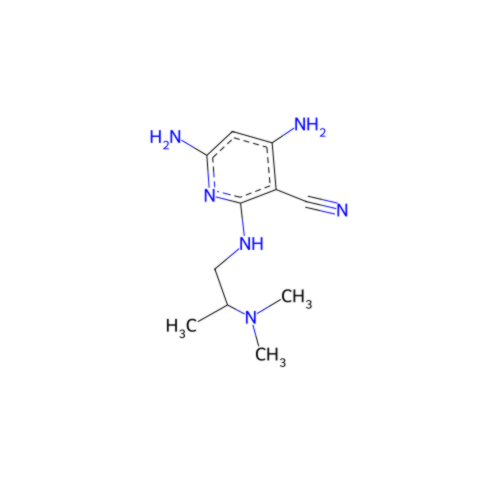 CC(CNc1nc(N)cc(N)c1C#N)N(C)C